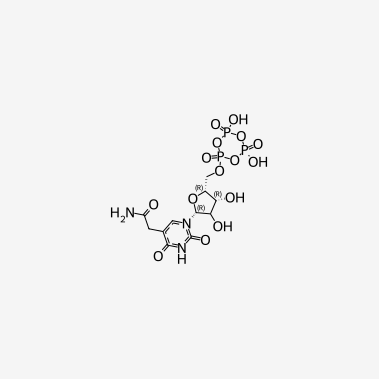 NC(=O)Cc1cn([C@@H]2O[C@H](COP3(=O)OP(=O)(O)OP(=O)(O)O3)[C@H](O)C2O)c(=O)[nH]c1=O